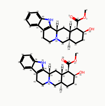 COC(=O)[C@@H]1[C@H]2C[C@H]3c4[nH]c5ccccc5c4CCN3C[C@@H]2CC[C@@H]1O.COC(=O)[C@@H]1[C@H]2C[C@H]3c4[nH]c5ccccc5c4CCN3C[C@@H]2CC[C@@H]1O